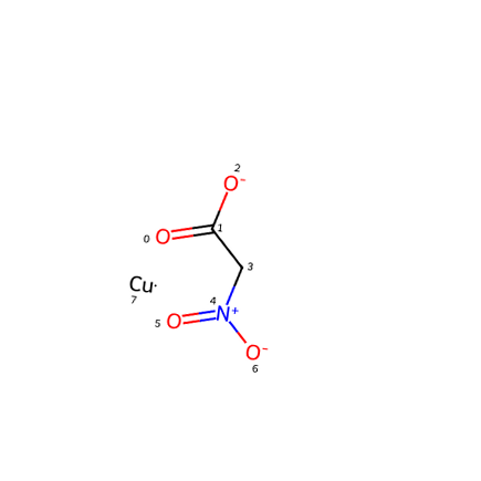 O=C([O-])C[N+](=O)[O-].[Cu]